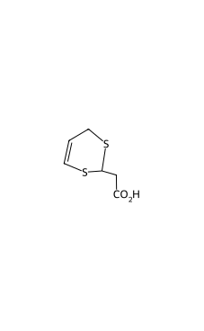 O=C(O)CC1SC=CCS1